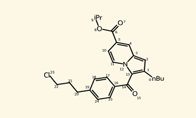 CCCCc1cc2cc(C(=O)OC(C)C)ccn2c1C(=O)c1ccc(CCCCl)cc1